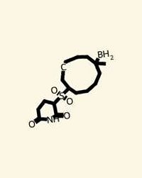 BC1(C)CCCCCC(S(=O)(=O)C2CCC(=O)NC2=O)CCCC1